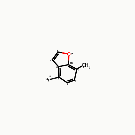 Cc1ccc(C(C)C)c2ccoc12